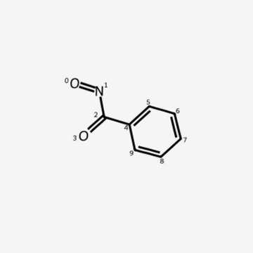 O=NC(=O)c1ccccc1